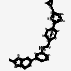 Cc1nc2ccc(-c3cccc(NCC45CCC(c6nc(C7CC7)no6)(CC4)OC5)c3)cc2s1